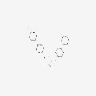 O=C(N[C@@H](Cc1ccc(-c2ccc(Cl)c(Cl)c2)cc1)C(=O)O)c1ccc(-c2ccc(C(F)(F)F)cc2)cc1